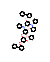 c1ccc(-c2ccccc2Oc2cc3c4c(c2)Oc2cc5c(cc2B4c2ccccc2O3)B2c3ccccc3N(c3ccccc3)c3cc(Oc4ccccc4-c4ccccc4)cc(c32)N5c2ccccc2)cc1